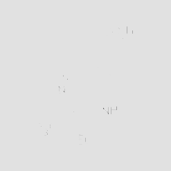 CCC1(C(F)(F)F)N=CC(C(=O)O)=CN1